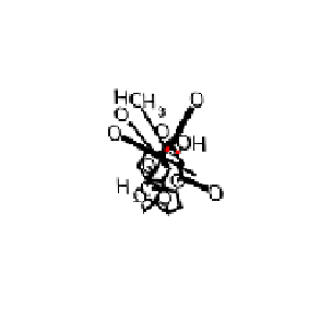 CC1COC(=O)/C=C\C=C/C(=O)OC2CC3OC4C=C(C(=O)O)CCC4(COC(=O)C1O)C2(C)C31CO1